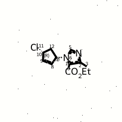 CCOC(=O)c1c(C)ncn1[C@@H]1C=C[C@H](Cl)C1